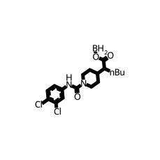 BOC(=O)C(CCCC)C1CCN(C(=O)Nc2ccc(Cl)c(Cl)c2)CC1